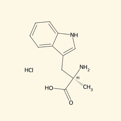 C[C@@](N)(Cc1c[nH]c2ccccc12)C(=O)O.Cl